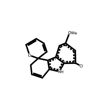 COc1cc(Cl)c2[nH]c3c(c2c1)C1(C=CC=CO1)CC=C3